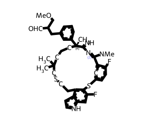 CN/C1=N\C(=N)[C@@](C)(c2cccc(CC(C=O)COC)c2)CCCC(C)(C)CSCCc2c(c(F)cc3[nH]ccc23)Sc2ccc(F)c1c2